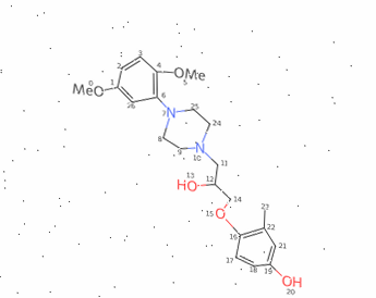 COc1ccc(OC)c(N2CCN(CC(O)COc3ccc(O)cc3C)CC2)c1